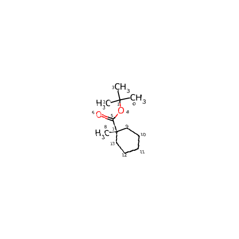 CC(C)(C)OC(=O)C1(C)CCCCC1